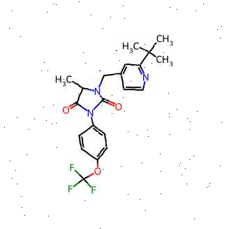 CC1C(=O)N(c2ccc(OC(F)(F)F)cc2)C(=O)N1Cc1ccnc(C(C)(C)C)c1